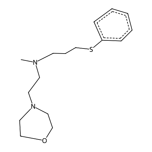 CN(CCCSc1ccccc1)CCN1CCOCC1